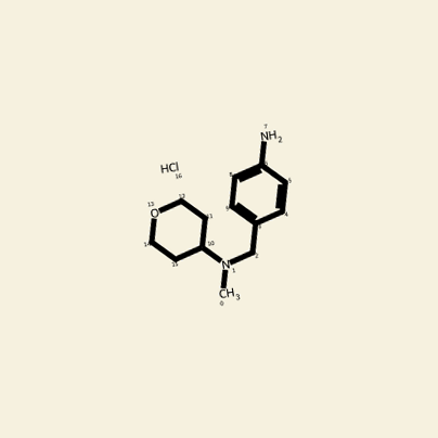 CN(Cc1ccc(N)cc1)C1CCOCC1.Cl